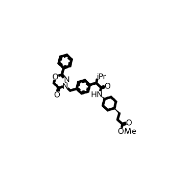 COC(=O)CC[C@H]1CC[C@H](NC(=O)C(c2ccc(CN3N=C(c4ccccc4)OCC3=O)cc2)C(C)C)CC1